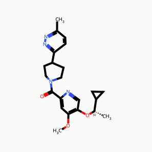 COc1cc(C(=O)N2CCC(c3ccc(C)nn3)CC2)ncc1O[C@@H](C)C1CC1